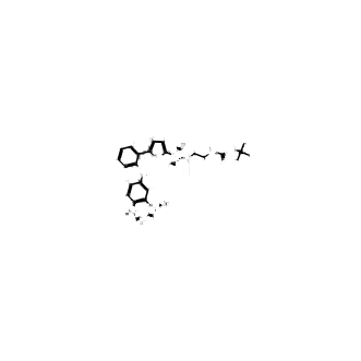 CC(C)(C)OC(=O)NCCNS(=O)(=O)c1ccc(-c2ccccc2Oc2ccc([N+](=O)[O-])c([N+](=O)[O-])c2)s1